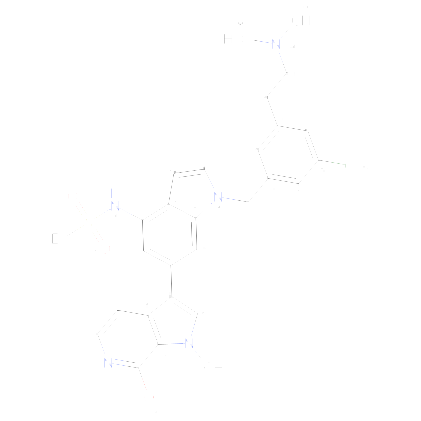 CCS(=O)(=O)Nc1cc(-c2cn(C)c3c(O)nccc23)cc2c1ccn2Cc1cc(Cl)cc(CCN(C)C)c1